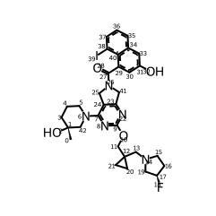 C[C@@]1(O)CCCN(c2nc(OCC3(CN4CC[C@@H](F)C4)CC3)nc3c2CN(C(=O)c2cc(O)cc4cccc(I)c24)C3)C1